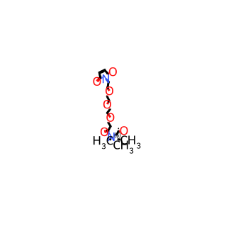 CC(C)[C@@H]([C]=O)N(C)C(=O)CCOCCOCCOCCN1C(=O)C=CC1=O